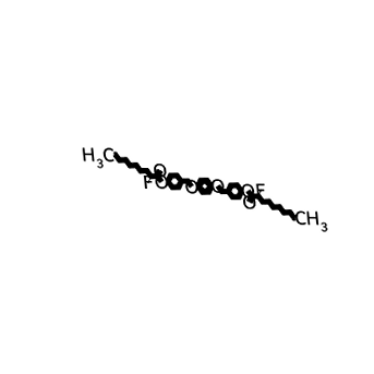 CCCCCCCC[C@@H](F)C(=O)OC1CCC(COc2ccc(OCC3CCC(OC(=O)[C@H](F)CCCCCCCC)CC3)cc2)CC1